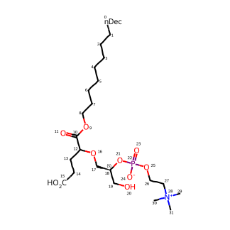 CCCCCCCCCCCCCCCCCCOC(=O)C(CCC(=O)O)OC[C@H](CO)OP(=O)([O-])OCC[N+](C)(C)C